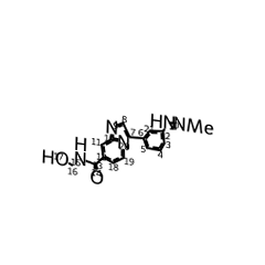 CNNc1cccc(-c2cnc3cc(C(=O)NCO)ccn23)c1